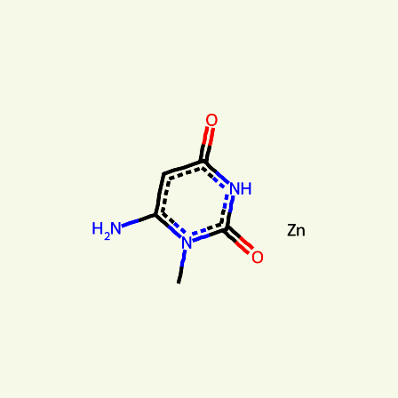 Cn1c(N)cc(=O)[nH]c1=O.[Zn]